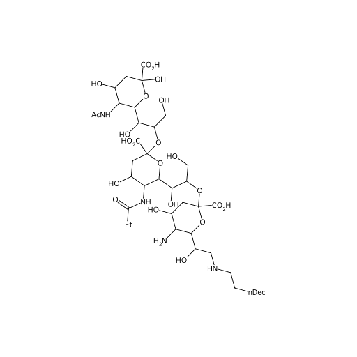 CCCCCCCCCCCCNCC(O)C1OC(OC(CO)C(O)C2OC(OC(CO)C(O)C3OC(O)(C(=O)O)CC(O)C3NC(C)=O)(C(=O)O)CC(O)C2NC(=O)CC)(C(=O)O)CC(O)C1N